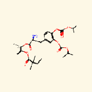 CCC(C)(C)C(=O)OC(C)[C@H](C)OC(=O)[C@@H](N)Cc1ccc(OC(=O)OC(C)C)c(OC(=O)OC(C)C)c1